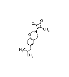 Cc1c(N2CCc3cc(CC(C)C)ccc3OC2)c(=O)c1=O